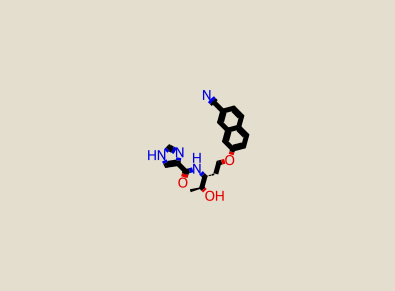 C[C@H](O)[C@@H](CCOc1ccc2ccc(C#N)cc2c1)NC(=O)c1c[nH]cn1